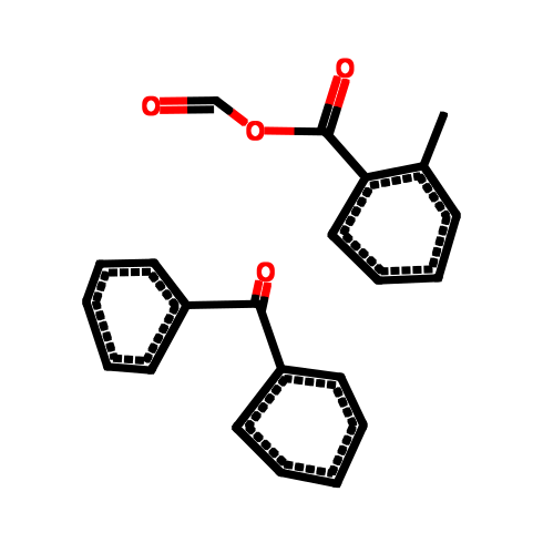 Cc1ccccc1C(=O)OC=O.O=C(c1ccccc1)c1ccccc1